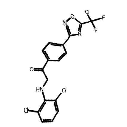 O=C(CNc1c(Cl)cccc1Cl)c1ccc(-c2noc(C(F)(F)Cl)n2)cc1